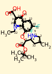 C=C1CNC([C@H](Oc2c(F)c(F)cc3c(=O)c(C(=O)O)cn(CC)c23)C(=O)OC(C)(C)C)C1